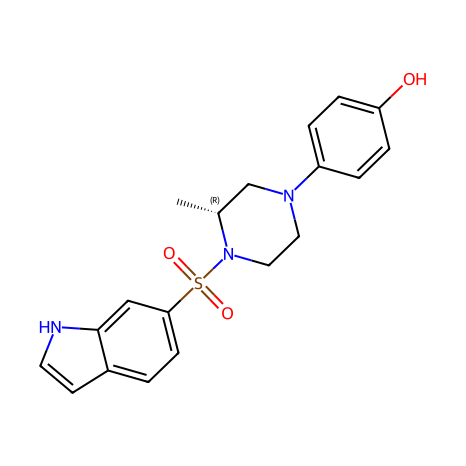 C[C@@H]1CN(c2ccc(O)cc2)CCN1S(=O)(=O)c1ccc2cc[nH]c2c1